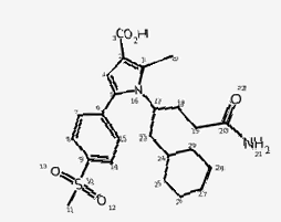 Cc1c(C(=O)O)cc(-c2ccc(S(C)(=O)=O)cc2)n1C(CCC(N)=O)CC1CCCCC1